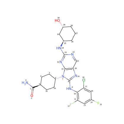 NC(=O)[C@H]1CC[C@H](n2c(Nc3c(F)cc(F)cc3Cl)nc3cnc(N[C@@H]4CCC[C@@H](O)C4)nc32)CC1